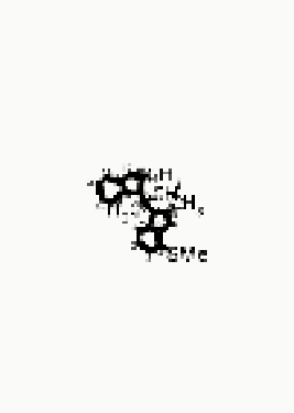 CSc1cccc2c1C=C(C)C2C(C)(C)C1C(C)=Cc2ccccc21